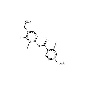 CCCCCCCc1ccc(C(=O)Oc2ccc(COC)c(F)c2F)c(F)c1